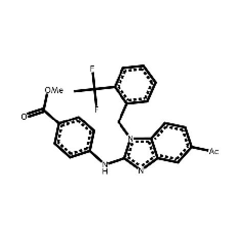 COC(=O)c1ccc(Nc2nc3cc(C(C)=O)ccc3n2Cc2ccccc2C(C)(F)F)cc1